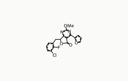 COc1nc(-c2ccco2)c2c(n1)C(Cc1cccc(Cl)c1F)OC2=O